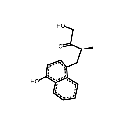 C[C@@H](Cc1ccc(O)c2ccccc12)C(=O)CO